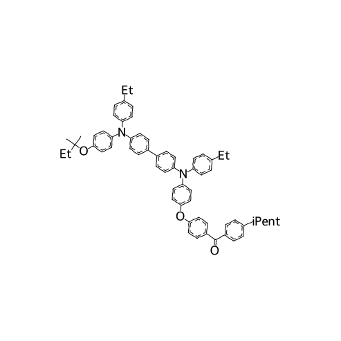 CCCC(C)c1ccc(C(=O)c2ccc(Oc3ccc(N(c4ccc(CC)cc4)c4ccc(-c5ccc(N(c6ccc(CC)cc6)c6ccc(OC(C)(C)CC)cc6)cc5)cc4)cc3)cc2)cc1